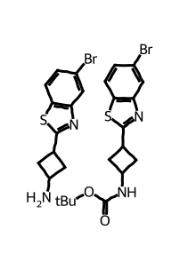 CC(C)(C)OC(=O)NC1CC(c2nc3cc(Br)ccc3s2)C1.NC1CC(c2nc3cc(Br)ccc3s2)C1